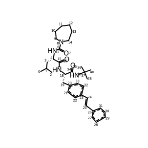 CC(C)C[C@H](NC(=O)N1CCCCCC1)C(=O)N[C@@H](Cc1ccc(C=Cc2ccccc2)cc1)C(=O)NC(C)(C)C